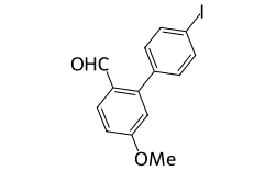 COc1ccc(C=O)c(-c2ccc(I)cc2)c1